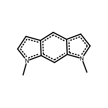 Cn1ccc2cc3ccn(C)c3cc21